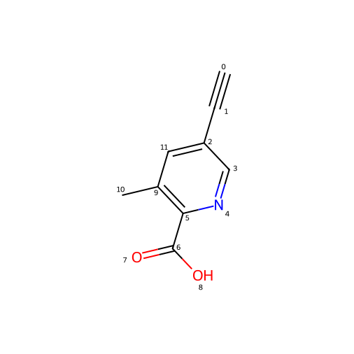 C#Cc1cnc(C(=O)O)c(C)c1